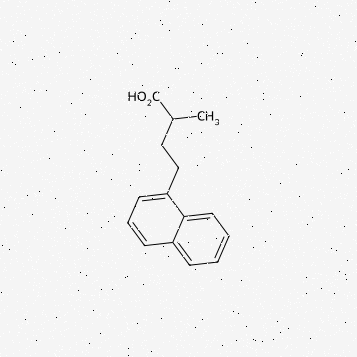 CC(CCc1cccc2ccccc12)C(=O)O